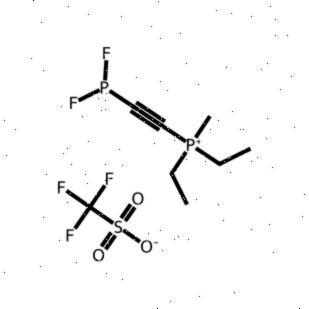 CC[P+](C)(C#CP(F)F)CC.O=S(=O)([O-])C(F)(F)F